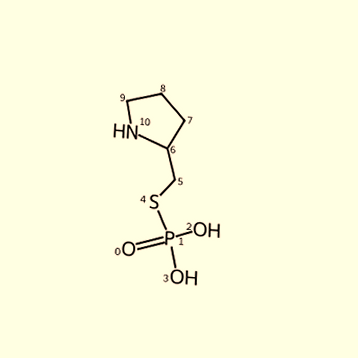 O=P(O)(O)SCC1CCCN1